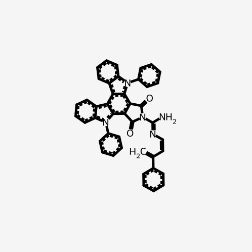 C=C(/C=C\N=C(/N)N1C(=O)c2c(c3c(c4ccccc4n3-c3ccccc3)c3c4ccccc4n(-c4ccccc4)c23)C1=O)c1ccccc1